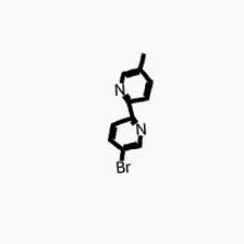 Cc1ccc(-c2ccc(Br)cn2)nc1